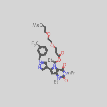 CCCn1c(=O)c2c(cc(-c3cnn(Cc4cccc(C(F)(F)F)c4)c3)n2C(CC)OC(=O)CCOCCOCCOC)n(CC)c1=O